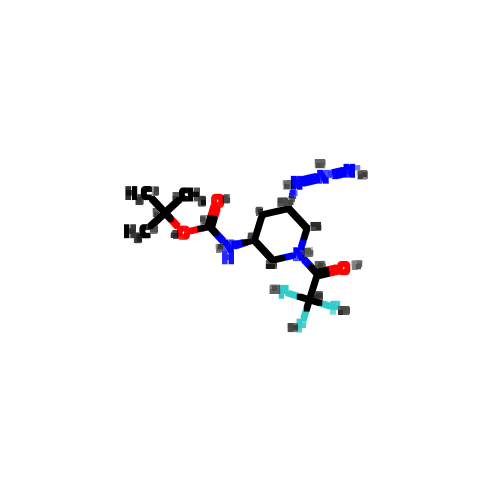 CC(C)(C)OC(=O)N[C@H]1C[C@H](N=[N+]=[N-])CN(C(=O)C(F)(F)F)C1